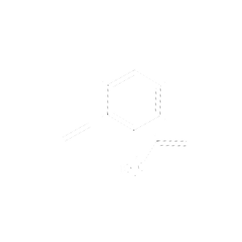 C=C.C=CC(=O)O.c1ccccc1